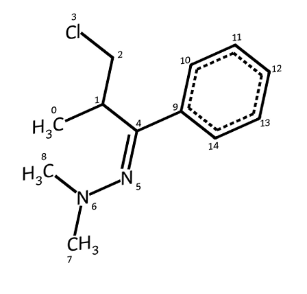 CC(CCl)C(=NN(C)C)c1ccccc1